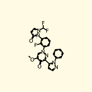 COc1cn(-c2cccc(-n3c(=O)ccn3C(F)F)c2F)nc(-c2ccnn2-c2ccccc2)c1=O